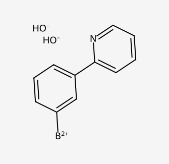 [B+2]c1cccc(-c2ccccn2)c1.[OH-].[OH-]